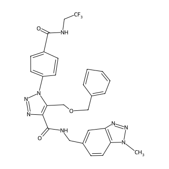 Cn1nnc2cc(CNC(=O)c3nnn(-c4ccc(C(=O)NCC(F)(F)F)cc4)c3COCc3ccccc3)ccc21